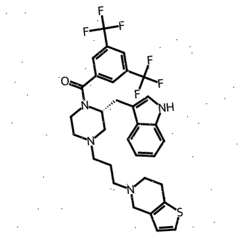 O=C(c1cc(C(F)(F)F)cc(C(F)(F)F)c1)N1CCN(CCCN2CCc3sccc3C2)C[C@H]1Cc1c[nH]c2ccccc12